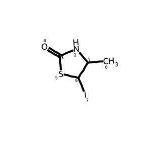 CC1NC(=O)SC1I